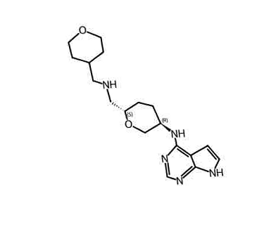 c1nc(N[C@@H]2CC[C@@H](CNCC3CCOCC3)OC2)c2cc[nH]c2n1